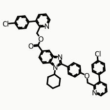 O=C(OCc1ncccc1-c1ccc(Cl)cc1)c1ccc2c(c1)nc(-c1ccc(OCc3ncccc3-c3ccc(Cl)cc3)cc1)n2C1CCCCC1